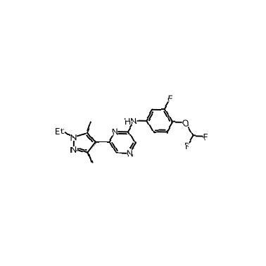 CCn1nc(C)c(-c2cncc(Nc3ccc(OC(F)F)c(F)c3)n2)c1C